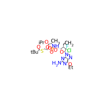 C=C[C@@H]1[C@@H](CO[P@](=O)(N[C@@H](C)C(=O)OC(C)C)OCCSC(=O)C(C)(C)C)O[C@@H](n2cnc3c(OCC)nc(N)nc32)[C@@]1(F)Cl